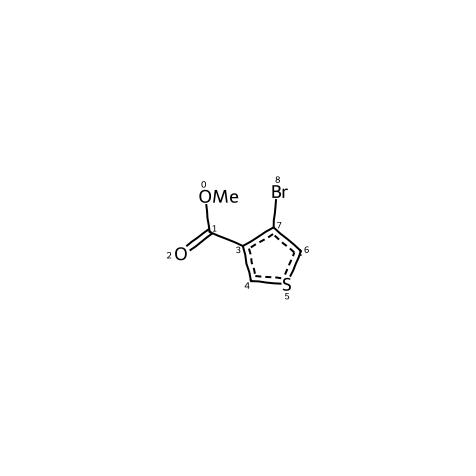 COC(=O)c1cs[c]c1Br